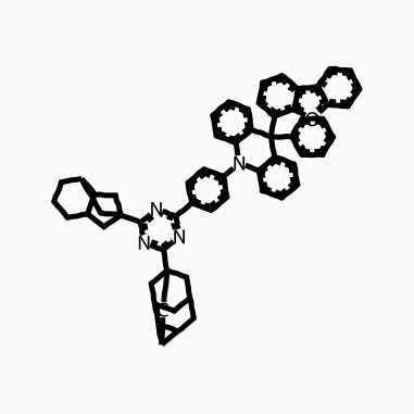 c1ccc(C2(c3cccc4c3oc3ccccc34)c3ccccc3N(c3ccc(-c4nc(C56CC7CCCC(C5)C7C6)nc(C56CC7CC(C5)C5C(C7)C5C6)n4)cc3)c3ccccc32)cc1